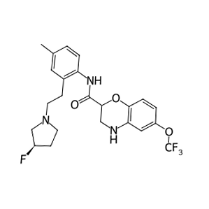 Cc1ccc(NC(=O)C2CNc3cc(OC(F)(F)F)ccc3O2)c(CCN2CC[C@@H](F)C2)c1